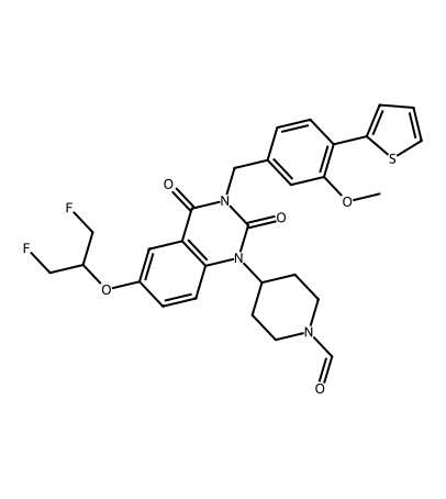 COc1cc(Cn2c(=O)c3cc(OC(CF)CF)ccc3n(C3CCN(C=O)CC3)c2=O)ccc1-c1cccs1